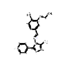 CCOc1cc(/C=N/n2c(S)nnc2-c2ccncc2)ccc1O